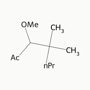 CCCC(C)(C)C(OC)C(C)=O